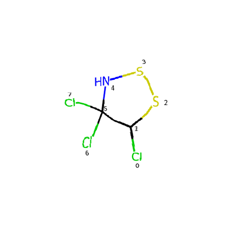 ClC1SSNC1(Cl)Cl